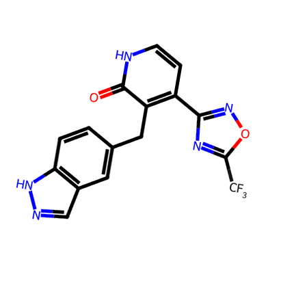 O=c1[nH]ccc(-c2noc(C(F)(F)F)n2)c1Cc1ccc2[nH]ncc2c1